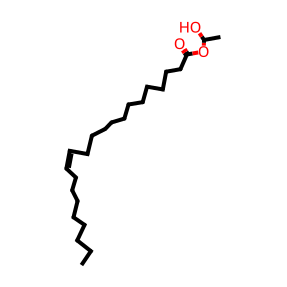 CCCCCCCC/C=C\CCCCCCCCCCCC(=O)OC(C)O